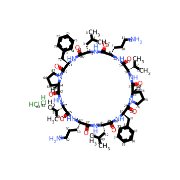 CC(C)C[C@@H]1NC(=O)[C@H](CCCN)NC(=O)[C@H](C(C)C)NC(=O)[C@@H]2CCCN2C(=O)[C@@H](Cc2ccccc2)NC(=O)[C@H](CC(C)C)NC(=O)[C@H](CCCN)NC(=O)[C@H](C(C)C)NC(=O)[C@@H]2CCCN2C(=O)[C@@H](Cc2ccccc2)NC1=O.Cl.Cl